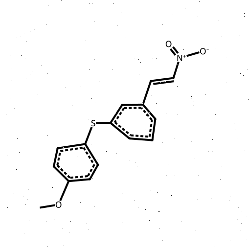 COc1ccc(Sc2cccc(C=C[N+](=O)[O-])c2)cc1